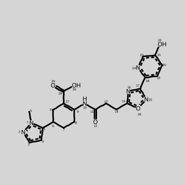 Cn1nccc1C1CCC(NC(=O)CCc2nc(-c3ccc(O)cn3)no2)=C(C(=O)O)C1